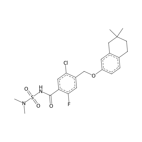 CN(C)S(=O)(=O)NC(=O)c1cc(Cl)c(COc2ccc3c(c2)CC(C)(C)CC3)cc1F